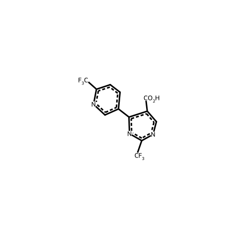 O=C(O)c1cnc(C(F)(F)F)nc1-c1ccc(C(F)(F)F)nc1